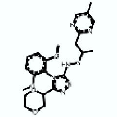 COc1cccc(OC)c1-n1c(NSC(C)Cc2ncc(C)cn2)nnc1C1COCCO1